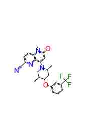 C[C@H]1CN(c2cc(=O)n(C)c3ccc(C#N)nc23)[C@@H](C)CC1Oc1cccc(C(F)(F)F)c1